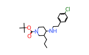 CCCC1CN(C(=O)OC(C)(C)C)CCC1NCCc1ccc(Cl)cc1